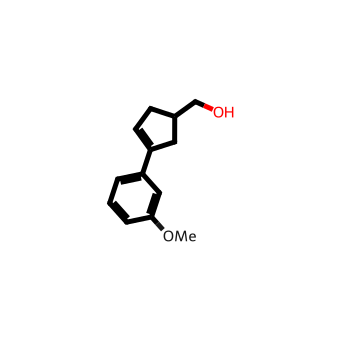 COc1cccc(C2=CCC(CO)C2)c1